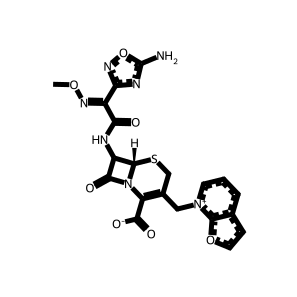 CON=C(C(=O)NC1C(=O)N2C(C(=O)[O-])=C(C[n+]3cccc4ccoc43)CS[C@@H]12)c1noc(N)n1